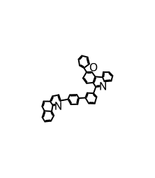 c1cc(-c2ccc(-c3ccc4ccc5ccccc5c4n3)cc2)cc(-c2nc3ccccc3c3c2ccc2c4ccccc4oc23)c1